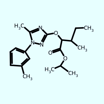 CCC(C)C(Oc1nc(C)n(-c2cccc(C)c2)n1)C(=O)OC(C)C